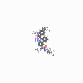 CC(=O)N1C(=O)/C(=C(\Nc2ccc(N(C)C(=O)CN(C)C)cc2)c2ccccc2)c2ccc([N+](=O)[O-])cc21